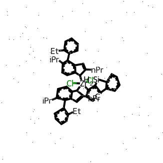 CCCC1=Cc2c(ccc(C(C)C)c2-c2ccccc2CC)[CH]1[Zr]([Cl])([Cl])([c]1cccc2c1[SiH2]c1ccccc1-2)[CH]1C(CCC)=Cc2c1ccc(C(C)C)c2-c1ccccc1CC